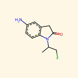 CC(CF)N1C(=O)Cc2cc(N)ccc21